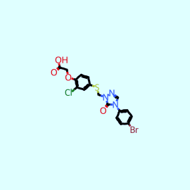 O=C(O)COc1ccc(SCn2ncn(-c3ccc(Br)cc3)c2=O)cc1Cl